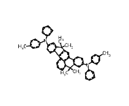 Cc1ccc(N(c2ccccc2)c2ccc3c(c2)C(C)(C)c2cc4c5c(cccc5c2-3)C(C)(C)c2cc(N(c3ccccc3)c3ccc(C)cc3)ccc2-4)cc1